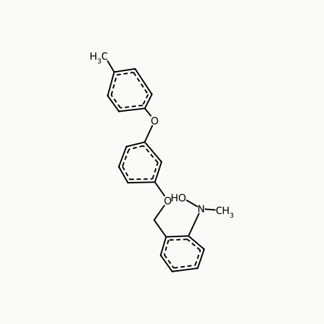 Cc1ccc(Oc2cccc(OCc3ccccc3N(C)O)c2)cc1